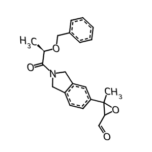 C[C@@H](OCc1ccccc1)C(=O)N1Cc2ccc(C3(C)OC3C=O)cc2C1